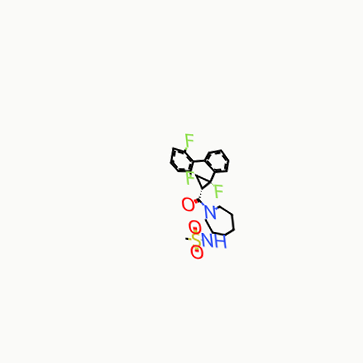 CS(=O)(=O)N[C@H]1CCCCN(C(=O)[C@@H]2C[C@@]2(F)c2ccccc2-c2c(F)cccc2F)C1